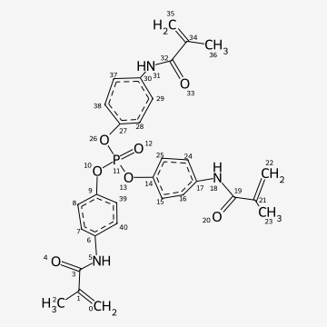 C=C(C)C(=O)Nc1ccc(OP(=O)(Oc2ccc(NC(=O)C(=C)C)cc2)Oc2ccc(NC(=O)C(=C)C)cc2)cc1